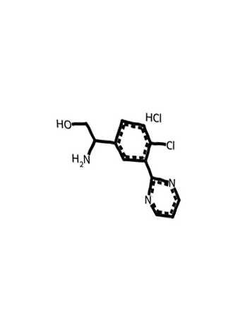 Cl.NC(CO)c1ccc(Cl)c(-c2ncccn2)c1